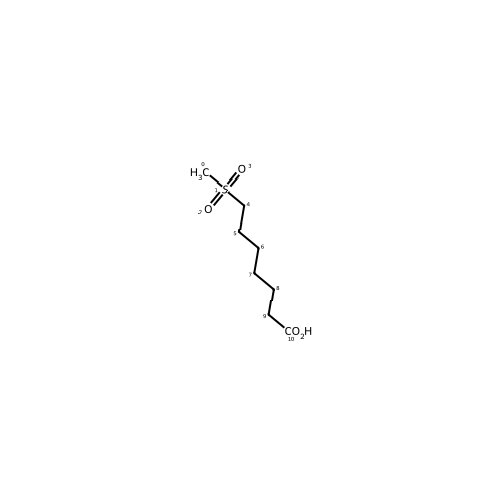 CS(=O)(=O)CCCCCCC(=O)O